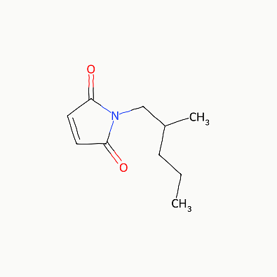 CCCC(C)CN1C(=O)C=CC1=O